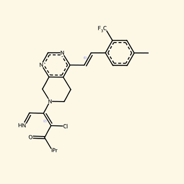 Cc1ccc(/C=C/c2ncnc3c2CCN(/C(C=N)=C(\Cl)C(=O)C(C)C)C3)c(C(F)(F)F)c1